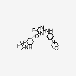 CC(N[C@H]1CC[C@H](COc2nc(Nc3ccc(N4CCOCC4)cc3)ncc2F)CC1)C(C)(F)F